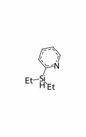 CC[SiH](CC)c1ccccn1